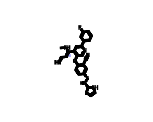 CN/C(=C\C=N)c1cc(-c2cccc(F)c2)ncc1Oc1ccc(SNC2NC=CS2)cc1C#N